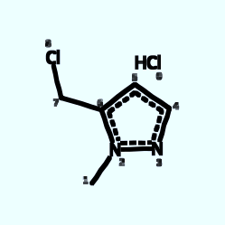 Cl.Cn1nccc1CCl